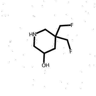 OC1CNCC(CF)(CF)C1